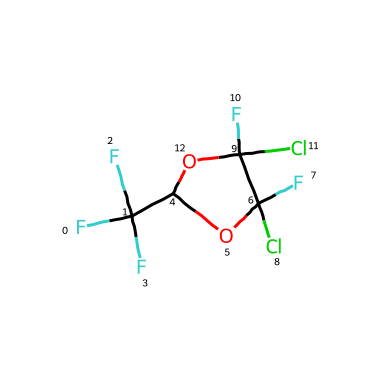 FC(F)(F)C1OC(F)(Cl)C(F)(Cl)O1